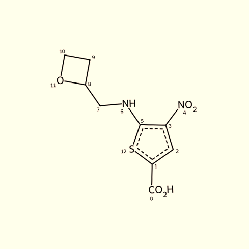 O=C(O)c1cc([N+](=O)[O-])c(NCC2CCO2)s1